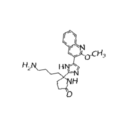 COc1nc2ccccc2cc1-c1cnc(C2(CCCCN)CCC(=O)N2)[nH]1